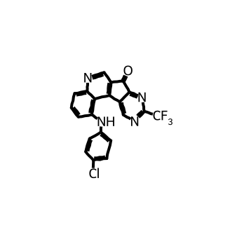 O=C1c2cnc3cccc(Nc4ccc(Cl)cc4)c3c2-c2cnc(C(F)(F)F)nc21